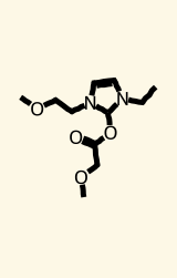 CCN1C=CN(CCOC)C1OC(=O)COC